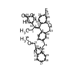 CCC(=C1c2ccc(Cn3c(COC)nc4ccccc43)cc2COc2cc(F)ccc21)c1noc(=O)[nH]1